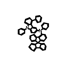 c1ccc(-c2cccc3c2c2cc(N(c4ccccc4)c4cccc5c4-c4ccccc4C54c5ccccc5-c5ccccc54)ccc2n3-c2ccccc2)cc1